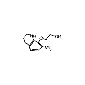 Nc1ccc2c(c1OCCO)NCCC2